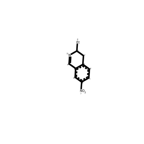 CCC1Cc2ccc([N+](=O)[O-])cc2C=N1